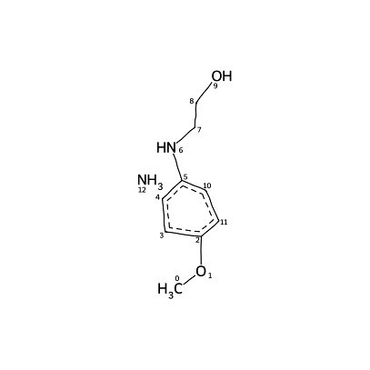 COc1ccc(NCCO)cc1.N